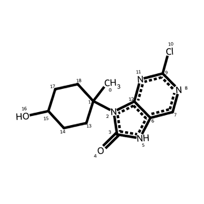 CC1(n2c(=O)[nH]c3cnc(Cl)nc32)CCC(O)CC1